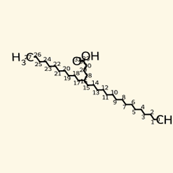 CCCCCCCCCCCCCCCCC(CCCCCCCCCCC)CCCC(=O)O